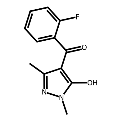 Cc1nn(C)c(O)c1C(=O)c1ccccc1F